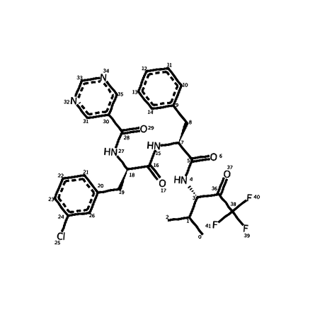 CC(C)[C@H](NC(=O)[C@H](Cc1ccccc1)NC(=O)[C@@H](Cc1cccc(Cl)c1)NC(=O)c1cncnc1)C(=O)C(F)(F)F